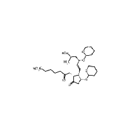 CCCC[C@H](C)C[C@H](/C=C/[C@H]1[C@H](OC2CCCCO2)CC(=O)[C@@H]1CC(=O)CCCCC(=O)O)OC1CCCCO1